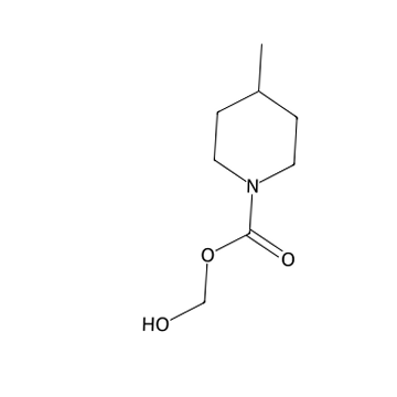 CC1CCN(C(=O)OCO)CC1